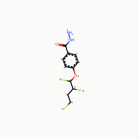 NNC(=O)c1ccc(OC(F)C(F)CCF)cc1